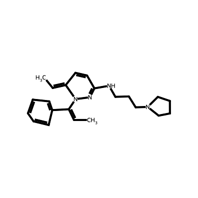 CC=C1C=CC(NCCCN2CCCC2)=NN1/C(=C\C)c1ccccc1